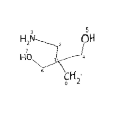 [CH2]C(CN)(CO)CO